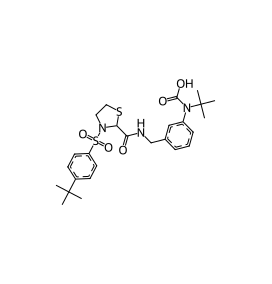 CC(C)(C)c1ccc(S(=O)(=O)N2CCSC2C(=O)NCc2cccc(N(C(=O)O)C(C)(C)C)c2)cc1